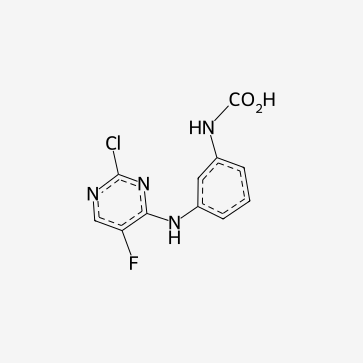 O=C(O)Nc1cccc(Nc2nc(Cl)ncc2F)c1